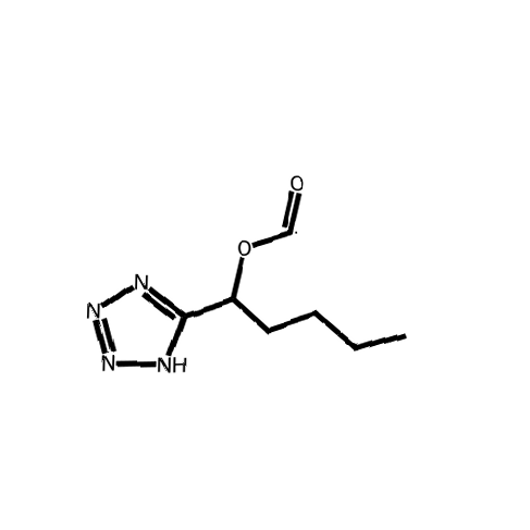 CCCCC(O[C]=O)c1nnn[nH]1